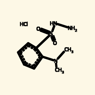 CN(C)c1ccccc1S(=O)(=O)NN.Cl